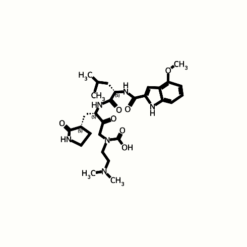 COc1cccc2[nH]c(C(=O)N[C@@H](CC(C)C)C(=O)N[C@@H](C[C@@H]3CCNC3=O)C(=O)CN(CCN(C)C)C(=O)O)cc12